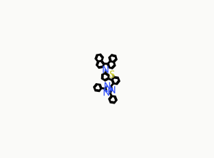 c1ccc(-c2nc(-c3ccccc3)nc(-c3cccc4sc5c(-n6c7ccc8ccccc8c7c7c8ccccc8ccc76)cccc5c34)n2)cc1